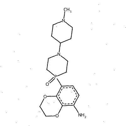 CN1CCC(N2CCP(=O)(c3ccc(N)c4c3OCCO4)CC2)CC1